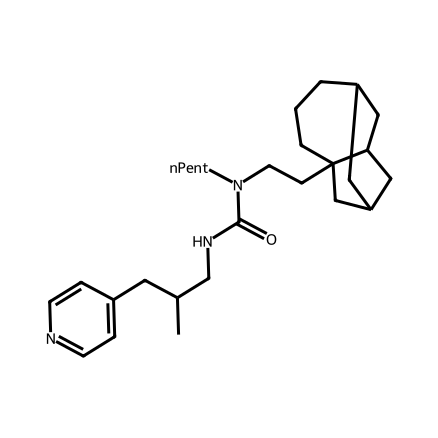 CCCCCN(CCC12CCCC3CC(CC1C3)C2)C(=O)NCC(C)Cc1ccncc1